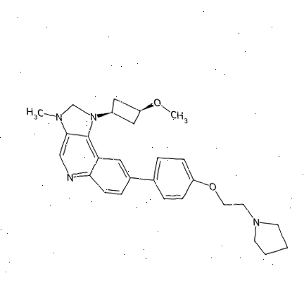 CO[C@H]1C[C@@H](N2CN(C)c3cnc4ccc(-c5ccc(OCCN6CCCC6)cc5)cc4c32)C1